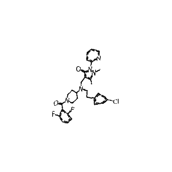 Cc1c(CN(CCc2ccc(Cl)cc2)C2CCN(C(=O)c3c(F)cccc3F)CC2)c(=O)n(-c2ccccn2)n1C